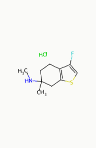 CNC1(C)CCc2c(F)csc2C1.Cl